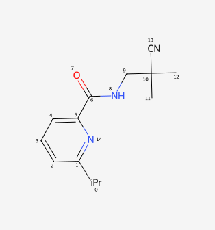 CC(C)c1cccc(C(=O)NCC(C)(C)C#N)n1